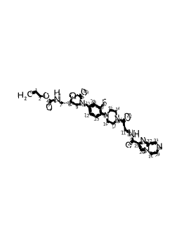 C=CCOC(=O)NC[C@H]1CN(c2ccc(N3CCN(C(=O)CNC(=O)c4cn5ccncc5n4)CC3)c(F)c2)C(=O)O1